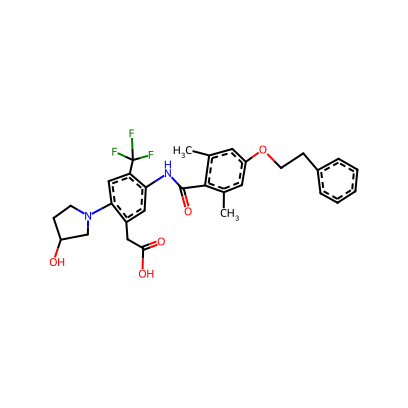 Cc1cc(OCCc2ccccc2)cc(C)c1C(=O)Nc1cc(CC(=O)O)c(N2CCC(O)C2)cc1C(F)(F)F